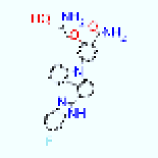 NC(=O)c1ccc(-n2c3ccccc3c3c(-c4nc5ccc(F)cc5[nH]4)cccc32)cc1OCC(N)CO